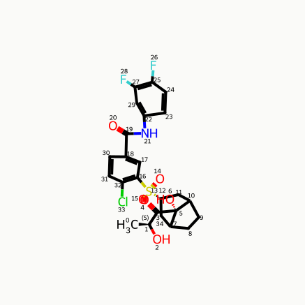 C[C@H](O)C(=O)[C@]1(O)C2CCC1C[C@@H](S(=O)(=O)c1cc(C(=O)Nc3ccc(F)c(F)c3)ccc1Cl)C2